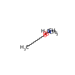 CCCCCCCCCCCCCCCCCCOC(=O)OCC[N+](C)(C)C